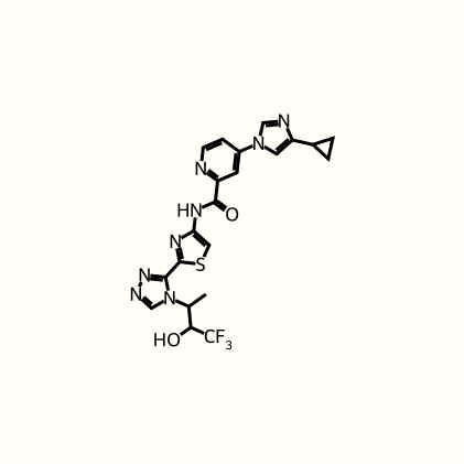 CC(C(O)C(F)(F)F)n1cnnc1-c1nc(NC(=O)c2cc(-n3cnc(C4CC4)c3)ccn2)cs1